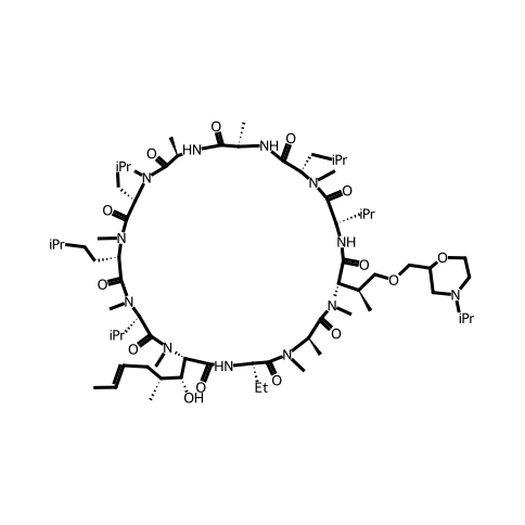 C/C=C/C[C@@H](C)[C@@H](O)[C@H]1C(=O)N[C@@H](CC)C(=O)N(C)[C@H](C)C(=O)N(C)[C@@H]([C@H](C)COCC2CN(C(C)C)CCO2)C(=O)N[C@@H](C(C)C)C(=O)N(C)[C@@H](CC(C)C)C(=O)N[C@@H](C)C(=O)N[C@H](C)C(=O)N(C)[C@@H](CC(C)C)C(=O)N(C)[C@@H](CCC(C)C)C(=O)N(C)[C@@H](C(C)C)C(=O)N1C